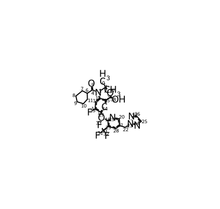 CC(C)N(C(=O)C1CCCCC1)c1cc(F)c(Oc2ncc(Cn3nccn3)cc2C(F)(F)F)cc1C(=O)O